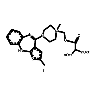 CCCCCCCCC(CCCCCCCC)C(=O)OC[N+]1(C)CCN(C2=Nc3ccccc3Nc3sc(C)cc32)CC1.[I-]